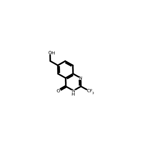 O=c1[nH]c(C(F)(F)F)nc2ccc(CO)cc12